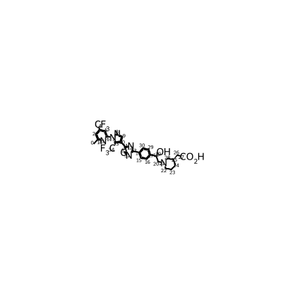 Cc1cc(C(F)(F)F)cc(-n2ncc(-c3nc(-c4ccc([C@@H](O)CN5CCC[C@H](CC(=O)O)C5)cc4)no3)c2C(F)(F)F)n1